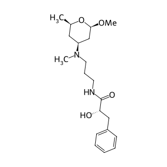 CO[C@H]1C[C@@H](N(C)CCCNC(=O)[C@@H](O)Cc2ccccc2)C[C@@H](C)O1